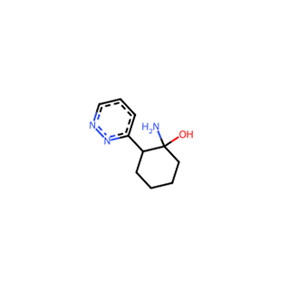 NC1(O)CCCCC1c1cccnn1